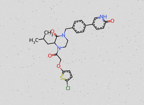 CC(C)CC1C(=O)N(Cc2ccc(-c3ccc(=O)[nH]c3)cc2)CCN1C(=O)COc1ccc(Cl)s1